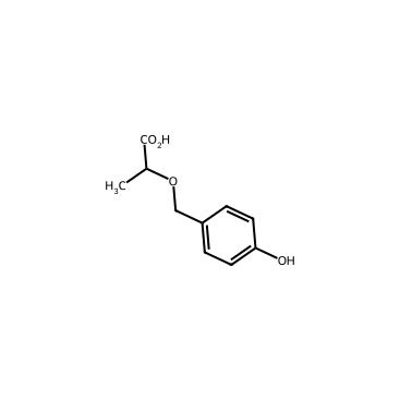 CC(OCc1ccc(O)cc1)C(=O)O